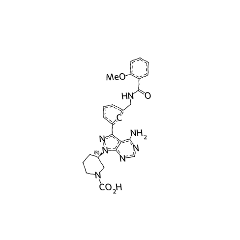 COc1ccccc1C(=O)NCc1cccc(-c2nn([C@@H]3CCCN(C(=O)O)C3)c3ncnc(N)c23)c1